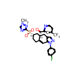 Cn1cnc(S(=O)(=O)[C@H]2CCC3=Cc4c(cnn4-c4ccc(F)cc4)C[C@]3(C(=O)c3cc(C(F)(F)F)ccn3)C2)n1